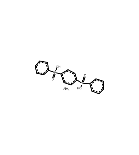 O=P(O)(c1ccccc1)c1ccc(P(=O)(O)c2ccccc2)cc1.[AlH3]